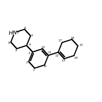 [CH]1CC=C(C2CCNCC2)C=C1C1=CCCCC1